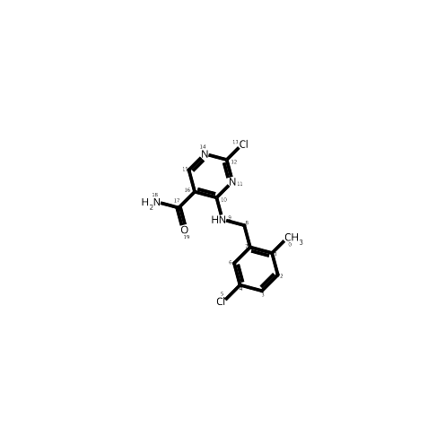 Cc1ccc(Cl)cc1CNc1nc(Cl)ncc1C(N)=O